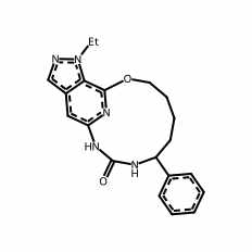 CCn1ncc2cc3nc(c21)OCCCCC(c1ccccc1)NC(=O)N3